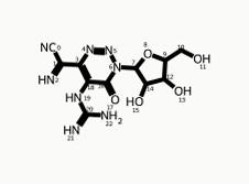 N#CC(=N)c1nnn(C2OC(CO)C(O)C2O)c(=O)c1NC(=N)N